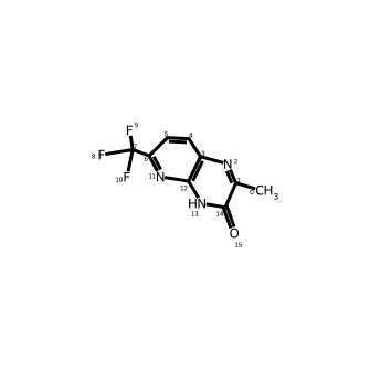 Cc1nc2ccc(C(F)(F)F)nc2[nH]c1=O